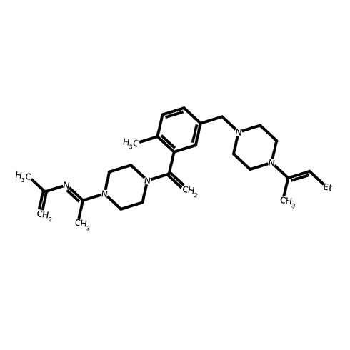 C=C(C)/N=C(\C)N1CCN(C(=C)c2cc(CN3CCN(/C(C)=C/CC)CC3)ccc2C)CC1